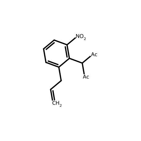 C=CCc1cccc([N+](=O)[O-])c1C(C(C)=O)C(C)=O